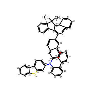 CC1(C)c2ccccc2-c2c(-c3ccc4cc(N(c5ccc6c(c5)sc5ccccc56)c5ccccc5-c5ccccc5)ccc4c3)cc3ccccc3c21